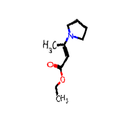 CCOC(=O)C=C(C)N1CCCC1